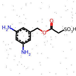 Nc1cc(N)cc(COC(=O)CS(=O)(=O)O)c1